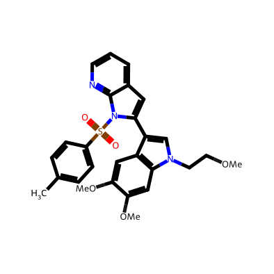 COCCn1cc(-c2cc3cccnc3n2S(=O)(=O)c2ccc(C)cc2)c2cc(OC)c(OC)cc21